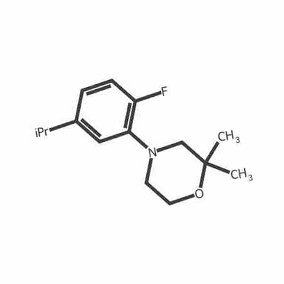 CC(C)c1ccc(F)c(N2CCOC(C)(C)C2)c1